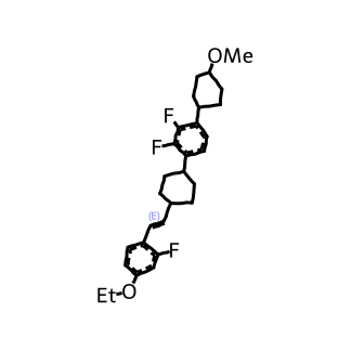 CCOc1ccc(/C=C/C2CCC(c3ccc(C4CCC(OC)CC4)c(F)c3F)CC2)c(F)c1